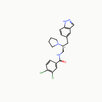 O=C(NC[C@H](Cc1ccc2[nH]ncc2c1)N1CCCC1)c1ccc(Cl)c(Cl)c1